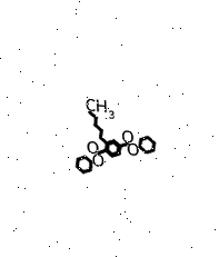 CCCCCCc1cc(C(=O)OC2CCCCC2)ccc1C(=O)OC1CCCCC1